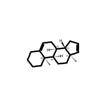 C[C@@]12C=CC[C@H]1[C@@H]1CC=C3CCCC[C@]3(C)[C@@H]1CC2